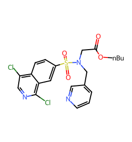 CCCCOC(=O)CN(Cc1cccnc1)S(=O)(=O)c1ccc2c(Cl)cnc(Cl)c2c1